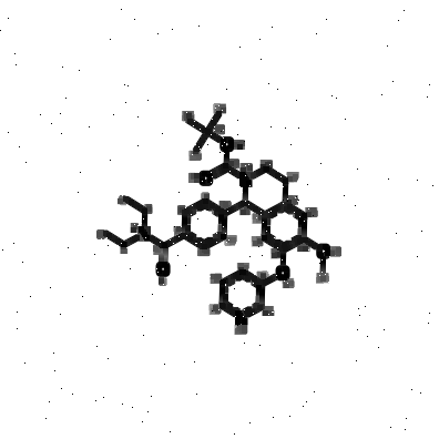 CCN(CC)C(=O)c1ccc(C2c3cc(Oc4cccnc4)c(OC)cc3CCN2C(=O)OC(C)(C)C)cc1